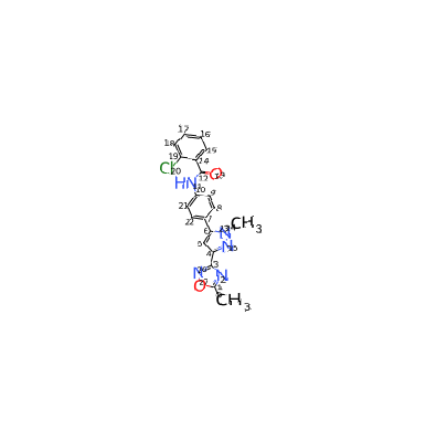 Cc1nc(-c2cc(-c3ccc(NC(=O)c4ccccc4Cl)cc3)n(C)n2)no1